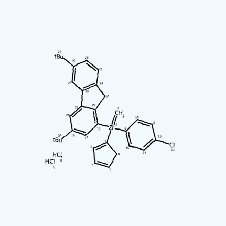 Cl.Cl.[CH2]=[Zr]([C]1=CC=CC1)([c]1ccc(Cl)cc1)[c]1cc(C(C)(C)C)cc2c1Cc1ccc(C(C)(C)C)cc1-2